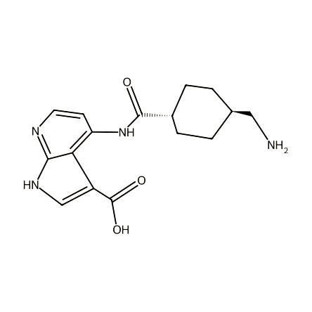 NC[C@H]1CC[C@H](C(=O)Nc2ccnc3[nH]cc(C(=O)O)c23)CC1